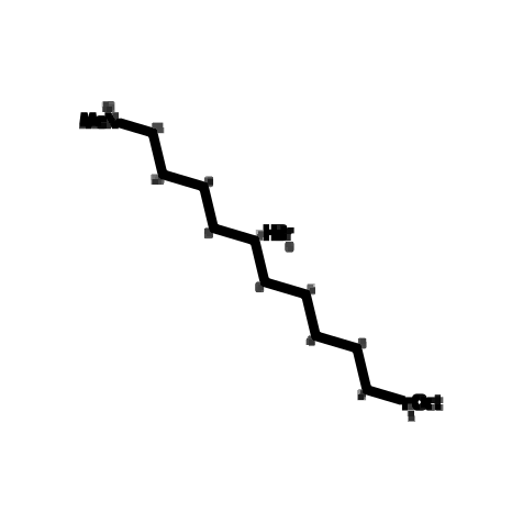 Br.CCCCCCCCCCCCCCCCCCNC